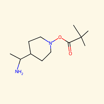 CC(N)C1CCN(OC(=O)C(C)(C)C)CC1